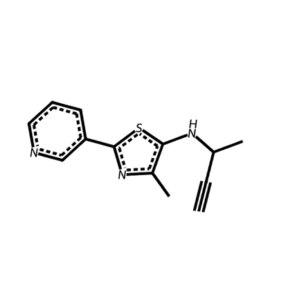 C#CC(C)Nc1sc(-c2cccnc2)nc1C